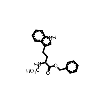 O=C(O)NC(CCc1c[nH]c2ccccc12)C(=O)OCc1ccccc1